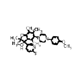 COc1ccc(N2CCN(c3c(C)c(C)c4c(c3C)C(O)(c3ccc(F)nc3)C(C)(C)O4)CC2)cc1